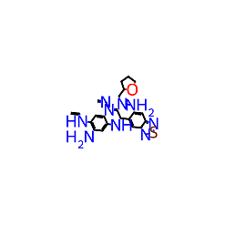 C=CNc1ccc(NC(/C(=N/N=C)N(N)CC2CCCO2)c2ccc3nsnc3c2)cc1N